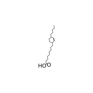 CCCCCC1C=CC(CCCCCCCCC(=O)O)CC1